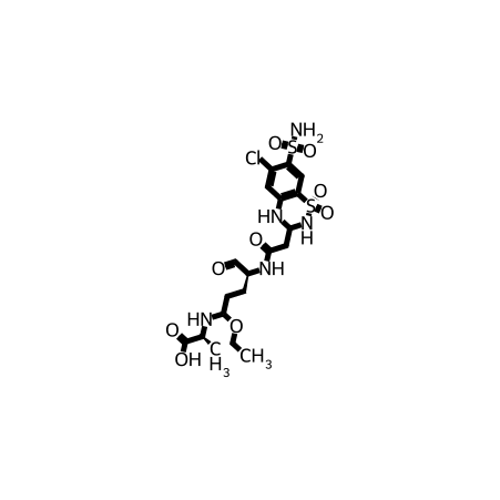 CCOC(CC[C@@H](C=O)NC(=O)CC1Nc2cc(Cl)c(S(N)(=O)=O)cc2S(=O)(=O)N1)N[C@@H](C)C(=O)O